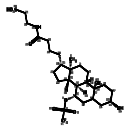 C[C@]12CC[C@H]3[C@@H]([C@@H](OS(=O)(=O)C(F)(F)F)CC4C[C@H](O)CC[C@@]43C)[C@@H]1CC[C@@H]2CCCC(=O)NCCS(=O)(=O)O